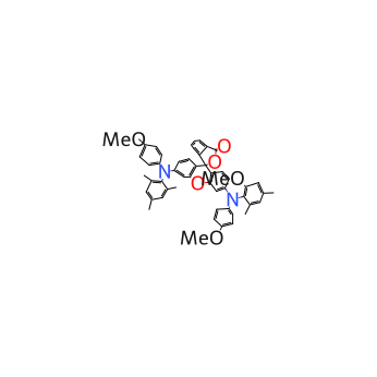 COc1ccc(N(c2ccc3c(c2)Oc2cc(N(c4ccc(OC)cc4)c4c(C)cc(C)cc4OC)ccc2C32OC(=O)c3ccccc32)c2c(C)cc(C)cc2C)cc1